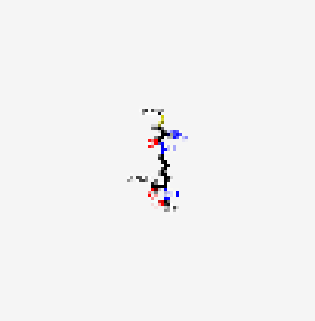 CCC(=O)NC(CCCCNC(=O)C(N)CSSC)C(=O)NC(C)=O